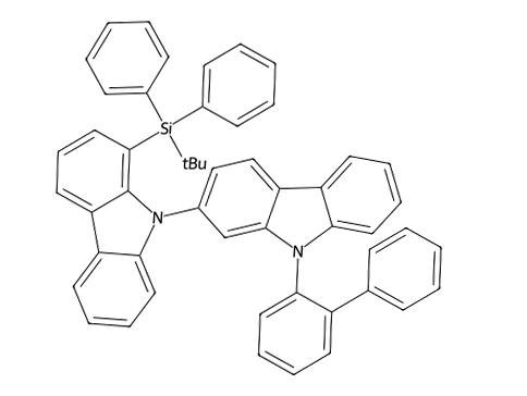 CC(C)(C)[Si](c1ccccc1)(c1ccccc1)c1cccc2c3ccccc3n(-c3ccc4c5ccccc5n(-c5ccccc5-c5ccccc5)c4c3)c12